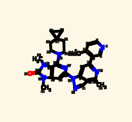 COc1ccncc1-c1cc2c(cnn2-c2cc3c(c(N4CCC5(CC4)CC5)n2)n(C)c(=O)n3C)c(C)n1